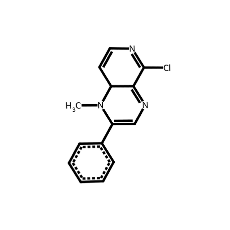 CN1C(c2ccccc2)=CN=C2C(Cl)=NC=CC21